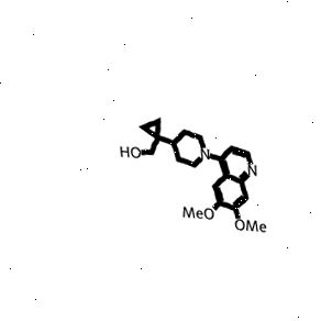 COc1cc2nccc(N3CCC(C4(CO)CC4)CC3)c2cc1OC